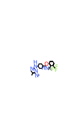 Cc1cnc(NC2CCC(C(=O)N[C@@H](C)c3ccccc3C(F)(F)F)CC2)nc1N(C)C